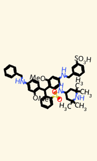 COc1cc(NCc2ccccc2)ccc1C(c1ccc(NCc2cccc(S(=O)(=O)O)c2)cc1OC)c1ccccc1S(=O)(=O)NC1CC(C)(C)NC(C)(C)C1